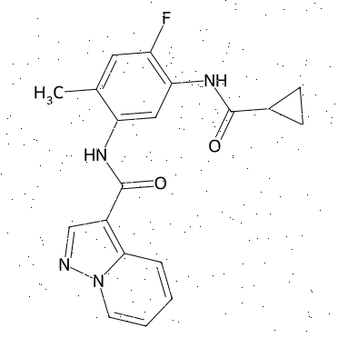 Cc1cc(F)c(NC(=O)C2CC2)cc1NC(=O)c1cnn2ccccc12